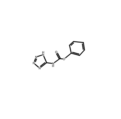 O=C(Nc1nnn[nH]1)Oc1ccccc1